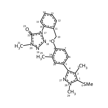 CSc1c(C)c(-c2ccc(OCc3ccccc3-n3nnn(C)c3=O)c(C)c2)nn1C